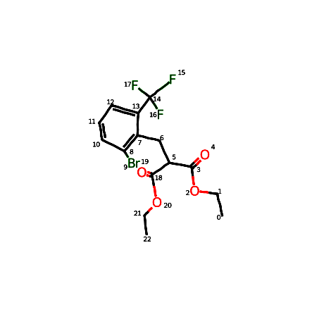 CCOC(=O)C(Cc1c(Br)cccc1C(F)(F)F)C(=O)OCC